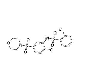 O=S(=O)(Nc1cc(S(=O)(=O)N2CCOCC2)ccc1Cl)c1ccccc1Br